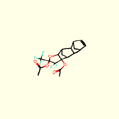 CC(=O)OC12C3CC(C4C5C=CC(C5)C43)C1OC(OC(C)=O)(C(F)(F)F)C2(F)F